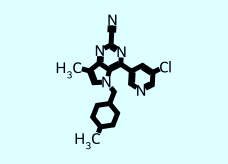 Cc1cn(CC2CCC(C)CC2)c2c(-c3cncc(Cl)c3)nc(C#N)nc12